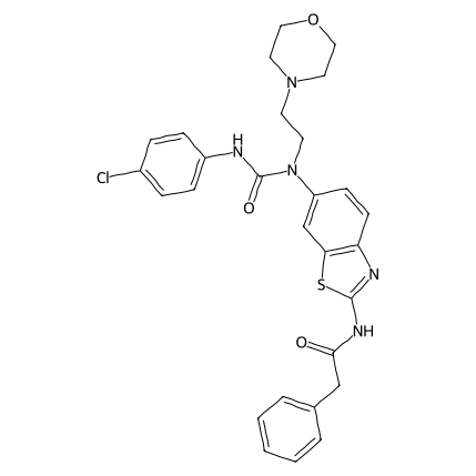 O=C(Cc1ccccc1)Nc1nc2ccc(N(CCN3CCOCC3)C(=O)Nc3ccc(Cl)cc3)cc2s1